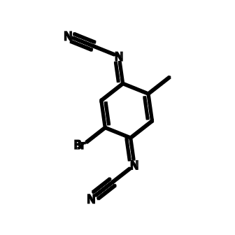 CC1=CC(=NC#N)C(Br)=CC1=NC#N